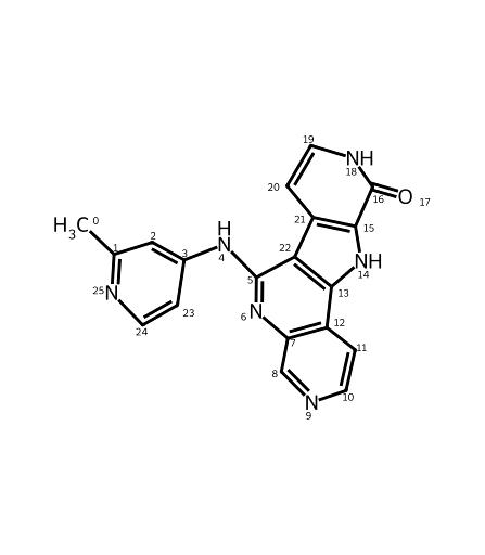 Cc1cc(Nc2nc3cnccc3c3[nH]c4c(=O)[nH]ccc4c23)ccn1